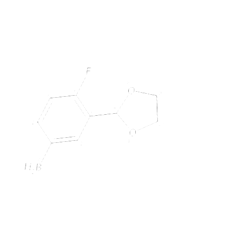 Bc1ccc(F)c(C2OCCO2)c1